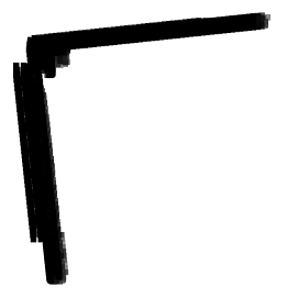 Cl.Cl.Cl.Cl.Cl.Cl.Cl.Cl.Cl.Cl.Cl.Cl.Cl.Cl.Cl.Cl.Cl.Cl.Cl.Cl.Cl.Cl.Cl.Cl.Cl.Cl.Cl.Cl.Cl.Cl.Cl.Cl.Cl.Cl.Cl.Cl.Cl.Cl.Cl.Cl.Cl.Cl.Cl.Cl.Cl.Cl.Cl.Cl.Cl.Cl.Cl.Cl.Cl.Cl.Cl.Cl.Cl.Cl.Cl.Cl.Cl.Cl.Cl.Cl.Cl.Cl.Cl.Cl.Cl.Cl.Cl.Cl.Cl.Cl.Cl.Cl.Cl.Cl.Cl.Cl.[Cl-].[Cl-].[Cl-].[Cl-].[Cl-].[Cl-].[Cl-].[Cl-].[Cl-].[Cl-].[Cl-].[Cl-].[Cl-].[Cl-].[Cl-].[Cl-].[Cl-].[Cl-].[Cl-].[Cl-].[Mg+2].[Mg+2].[Mg+2].[Mg+2].[Mg+2].[Mg+2].[Mg+2].[Mg+2].[Mg+2].[Mg+2]